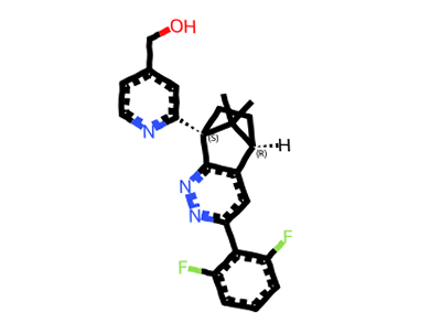 CC1(C)[C@H]2CC[C@]1(c1cc(CO)ccn1)c1nnc(-c3c(F)cccc3F)cc12